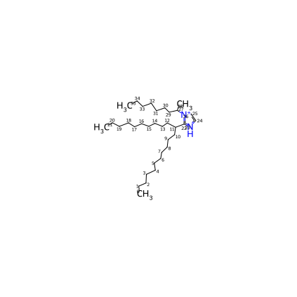 CCCCCCCCCCCC(CCCCCCCCCC)c1[nH]cc[n+]1C(C)CCCCCCC